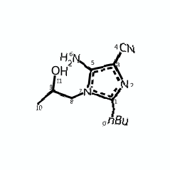 CCCCc1nc(C#N)c(N)n1CC(C)O